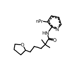 CCCc1cccnc1NC(=O)C(C)(C)CCCC1CCCO1